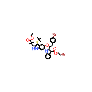 CCOC(=O)C(C)(C)Cc1[nH]c2ccc(OC(Cc3ccc(Br)cc3)C3N=c4ccccc4=C3C(=O)OCCBr)cc2c1SC(C)(C)C